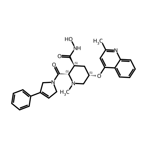 Cc1cc(O[C@H]2C[C@H](C(=O)NO)[C@@H](C(=O)N3CC=C(c4ccccc4)C3)N(C)C2)c2ccccc2n1